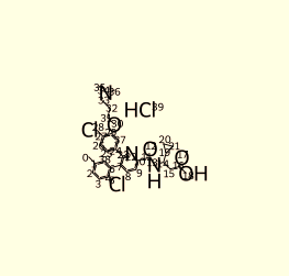 Cc1ccc(Cl)c(-c2ccc(C(=O)NC(CC(=O)O)C3CC3)nc2-c2ccc(Cl)c(OCCCN(C)C)c2)c1.Cl